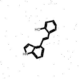 Oc1ccccc1C=Cc1cccc2[nH]ccc12